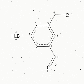 Bc1cc(C=O)cc(C=O)c1